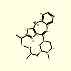 CO[C@H](C)C[C@H]1CN(C2=Nc3ccccc3Nc3sc(C(C)C)nc32)CCN1C